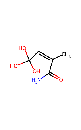 CC(=CC(O)(O)O)C(N)=O